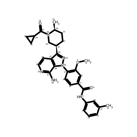 COc1cc(C(=O)Nc2cccc(C)c2)ccc1-n1nc([C@@H]2CC[C@H](C)N(C(=O)C3CC3)C2)c2ccnc(N)c21